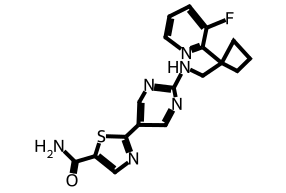 NC(=O)c1cnc(-c2cnc(NCC3(c4ncccc4F)CCC3)nc2)s1